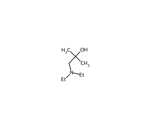 CCN(CC)CC(C)(C)O